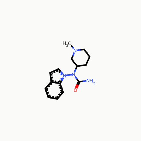 CN1CCCC(N(C(N)=O)n2ccc3ccccc32)C1